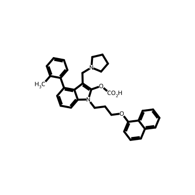 Cc1ccccc1-c1cccc2c1c(CN1CCCC1)c(OC(=O)O)n2CCCOc1cccc2ccccc12